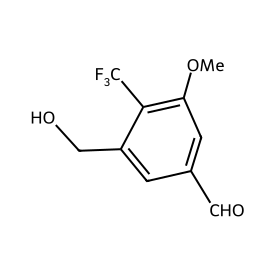 COc1cc(C=O)cc(CO)c1C(F)(F)F